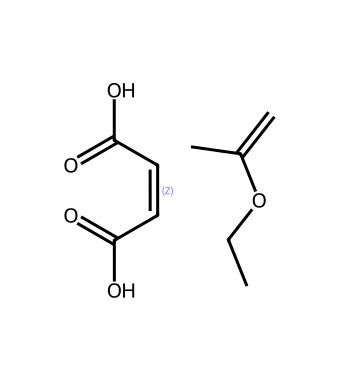 C=C(C)OCC.O=C(O)/C=C\C(=O)O